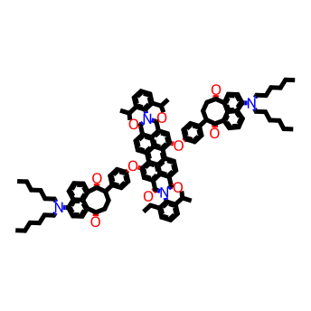 CCCCCCN(CCCCCC)c1ccc2c3c(cccc13)C(=O)C(c1ccc(Oc3cc4c5c(ccc6c7c(Oc8ccc(C9CCC(=O)c%10ccc(N(CCCCCC)CCCCCC)c%11cccc(c%10%11)C9=O)cc8)cc8c9c(ccc(c3c56)c97)C(=O)N(c3c(C(C)C)cccc3C(C)C)C8=O)C(=O)N(c3c(CC)cccc3C(C)C)C4=O)cc1)CCC2=O